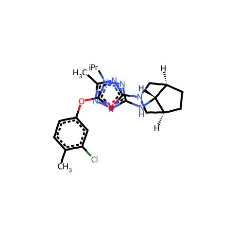 Cc1noc(N2C[C@H]3CC[C@@H](C2)[C@@H]3Nc2nc(Oc3ccc(C)c(Cl)c3)n(C(C)C)n2)n1